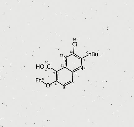 CCCCc1nc2ccc(OCC)c(C(=O)O)c2nc1Cl